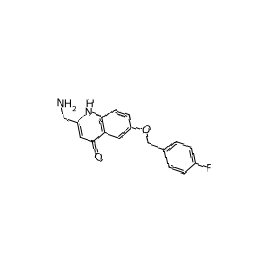 NCc1cc(=O)c2cc(OCc3ccc(F)cc3)ccc2[nH]1